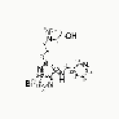 CCCN(CCO)CCCc1cc(NCc2cccnc2)n2ncc(Br)c2n1